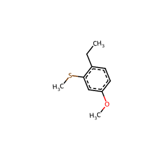 CCc1ccc(OC)cc1SC